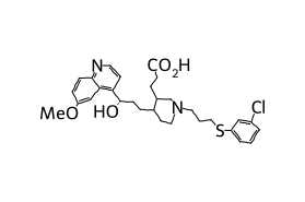 COc1ccc2nccc([C@@H](O)CCC3CCN(CCCSc4cccc(Cl)c4)CC3CCC(=O)O)c2c1